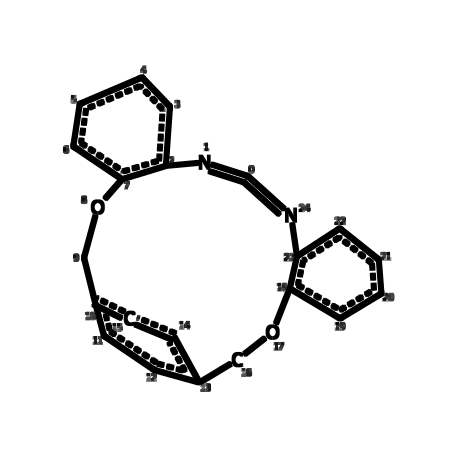 C1=Nc2ccccc2OCc2ccc(cc2)COc2ccccc2N=1